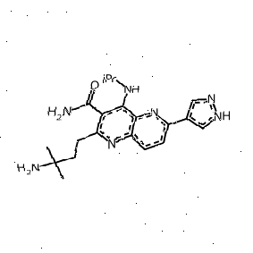 CC(C)Nc1c(C(N)=O)c(CCC(C)(C)N)nc2ccc(-c3cn[nH]c3)nc12